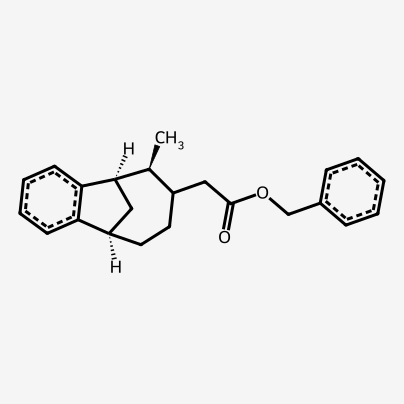 C[C@H]1C(CC(=O)OCc2ccccc2)CC[C@@H]2C[C@H]1c1ccccc12